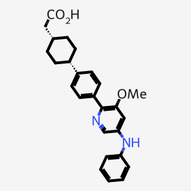 COc1cc(Nc2ccccc2)cnc1-c1ccc([C@H]2CC[C@@H](CC(=O)O)CC2)cc1